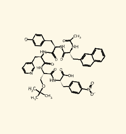 CC(=O)N[C@H](Cc1ccc2ccccc2c1)C(=O)N[C@H](Cc1ccc(Cl)cc1)C(=O)N[C@H](Cc1cccnc1)C(=O)N[C@@H](COC(C)(C)C)C(=O)N[C@@H](Cc1ccc([N+](=O)[O-])cc1)C(=O)O